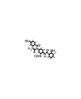 COc1cc(N(C(=O)c2ccc(C(C)(C)C)cc2)C(N)=S)ccc1NC(=O)c1ccccc1N